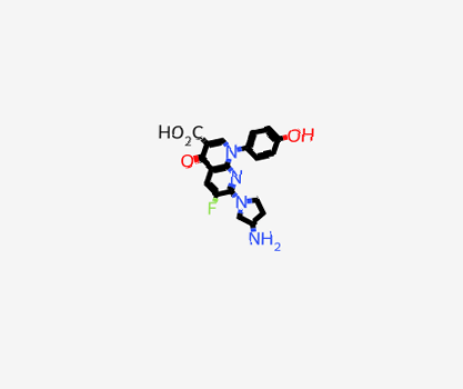 NC1CCN(c2nc3c(cc2F)c(=O)c(C(=O)O)cn3-c2ccc(O)cc2)C1